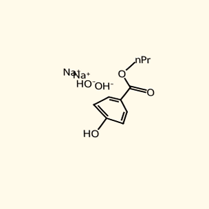 CCCOC(=O)c1ccc(O)cc1.[Na+].[Na+].[OH-].[OH-]